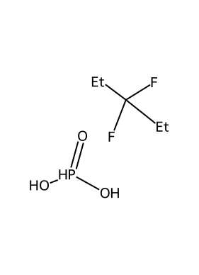 CCC(F)(F)CC.O=[PH](O)O